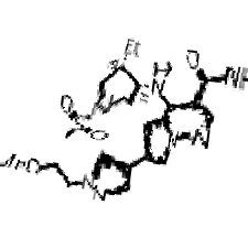 CC[C@H]1CN(S(C)(=O)=O)C[C@H]1Nc1c(C(N)=O)cnn2cc(-c3cnn(CCOC)c3)cc12